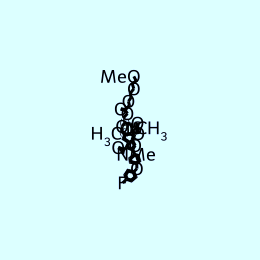 CNC(=O)c1c(-c2ccc(Oc3ccc(F)cc3)cc2)oc2cc3c(cc12)[C@H](C)O[C@H](COC(=O)COCCOCCOC)CN3S(C)(=O)=O